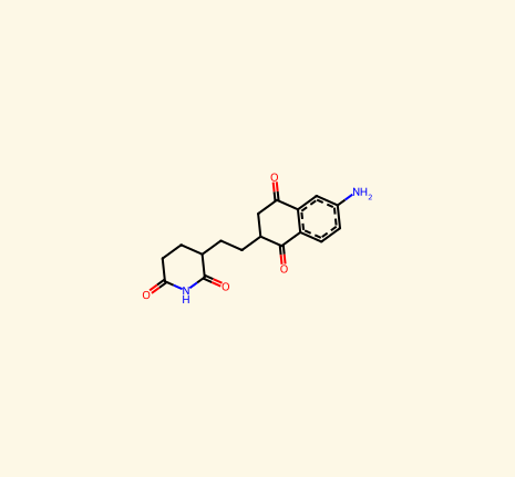 Nc1ccc2c(c1)C(=O)CC(CCC1CCC(=O)NC1=O)C2=O